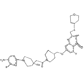 Nc1ccc(N2CCC(O)(CC(=O)N3CCC(COc4cc(F)c5c(=O)[nH]c(CSC6CCOCC6)nc5c4)CC3)CC2)cc1F